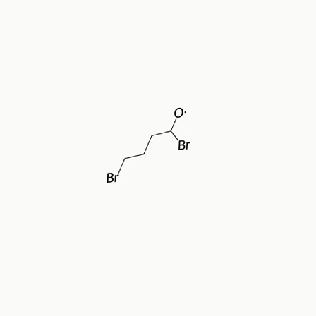 [O]C(Br)CCCBr